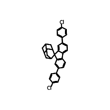 Clc1ccc(-c2ccc3c(c2)C2(c4cc(-c5ccc(Cl)cc5)ccc4-3)C3CC4CC(C3)CC2C4)cc1